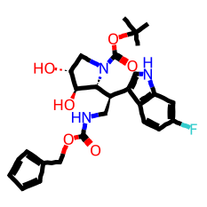 CC(C)(C)OC(=O)N1C[C@@H](O)[C@H](O)[C@H]1[C@H](CNC(=O)OCc1ccccc1)c1c[nH]c2cc(F)ccc12